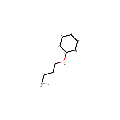 CCCCCCCCCO[C]1CC[CH]CC1